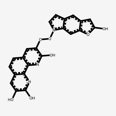 Oc1cc2cc3ccn(OOc4cc5ccc6cc(O)c(O)nc6c5nc4O)c3cc2o1